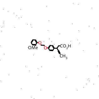 CC#CC(CC(=O)O)c1ccc(OCCOc2ccccc2OC)cc1